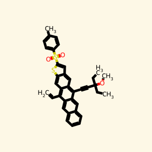 C=Cc1c2cc3ccccc3cc2c(C#CC(CC)(CC)OC)c2cc3cc(S(=O)(=O)c4ccc(C)cc4)sc3cc12